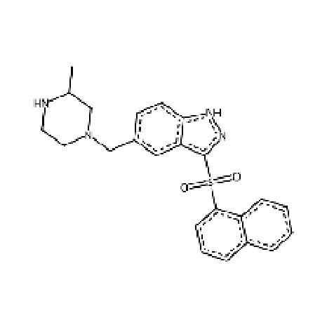 CC1CN(Cc2ccc3[nH]nc(S(=O)(=O)c4cccc5ccccc45)c3c2)CCN1